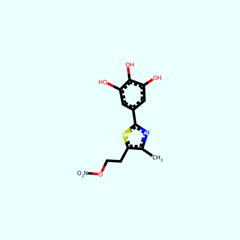 Cc1nc(-c2cc(O)c(O)c(O)c2)sc1CCO[N+](=O)[O-]